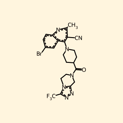 Cc1nc2ccc(Br)cc2c(N2CCC(C(=O)N3CCn4c(nnc4C(F)(F)F)C3)CC2)c1C#N